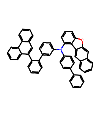 c1ccc(-c2ccc(N(c3cccc(-c4ccccc4-c4cc5ccccc5c5ccccc45)c3)c3cccc4oc5cc6ccccc6cc5c34)cc2)cc1